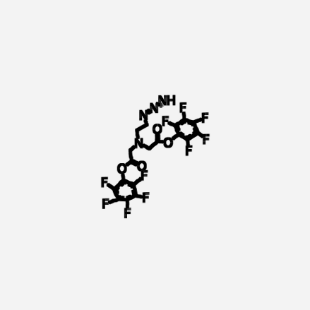 N=[N+]=NCCN(CC(=O)Oc1c(F)c(F)c(F)c(F)c1F)CC(=O)Oc1c(F)c(F)c(F)c(F)c1F